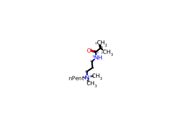 C=C(C)C(=O)NCCC[N+](C)(C)CCCCC